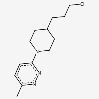 Cc1ccc(N2CCC(CCCCl)CC2)nn1